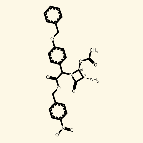 CC(=O)O[C@H]1[C@H](N)C(=O)N1C(C(=O)OCc1ccc([N+](=O)[O-])cc1)c1ccc(OCc2ccccc2)cc1